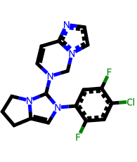 Fc1cc(N2C=C3CCCN3C2N2C=Cc3nccn3C2)c(F)cc1Cl